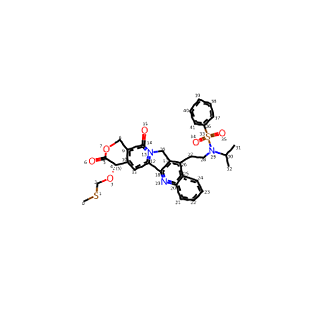 CSCO[C@@H]1C(=O)OCc2c1cc1n(c2=O)Cc2c-1nc1ccccc1c2CCN(C(C)C)S(=O)(=O)c1ccccc1